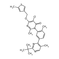 Cc1cc(COc2nc(C)n(-c3cc(-c4nc(C(C)(C)C)ncc4C)ccc3C)c(=O)c2Cl)cs1